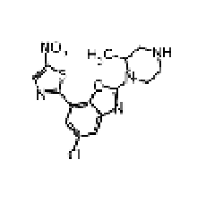 CC1CNCCN1c1nc2cc(Cl)cc(-c3ncc([N+](=O)[O-])s3)c2o1